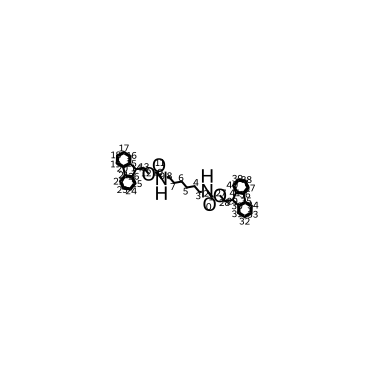 O=C(NCCCCCCNC(=O)OCC1c2ccccc2-c2ccccc21)OCC1c2ccccc2-c2ccccc21